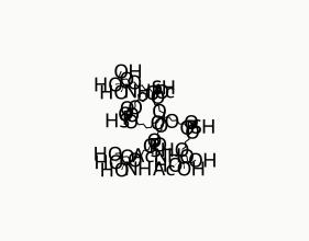 CC(=O)NC1[C@H](OCCCCOP(=O)(S)OCCCOCC(COCCCCCCOP(=O)(S)OC(=O)OCc2ccccc2)(COCCCOP(=O)(S)OCCCCO[C@@H]2OC(CO)[C@@H](O)[C@H](O)C2NC(C)=O)COCCCOP(=O)(S)OCCCCO[C@@H]2OC(CO)[C@H](O)[C@H](O)C2NC(C)=O)OC(CO)[C@@H](O)[C@@H]1O